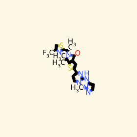 CC(c1nc(C(F)(F)F)cs1)N1C(=O)c2cc(-c3ccnc(Nc4ccnn4C)n3)sc2C1(C)C